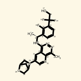 Cc1nnc(N[C@H](C)c2cccc(C(F)(F)CO)c2F)c2cc(N3CC4CC3CO4)cnc12